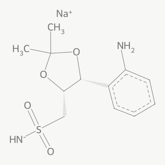 CC1(C)O[C@@H](CS([NH-])(=O)=O)[C@@H](c2ccccc2N)O1.[Na+]